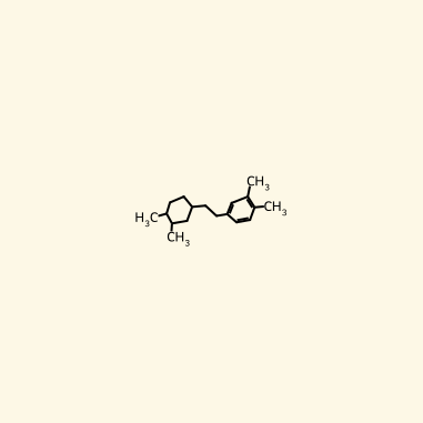 Cc1ccc(CCC2CCC(C)C(C)C2)cc1C